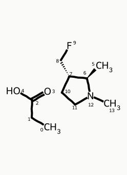 CCC(=O)O.C[C@@H]1[C@@H](CF)CCN1C